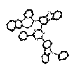 c1ccc(-c2nc(-c3ccc4c(c3)c3ccccc3n4-c3ccccc3)nc(-c3cc4c(cc3C3CCc5cc6ccccc6cc5-c5ccccc53)oc3ccccc34)n2)cc1